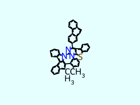 Cc1ccccc1-c1c(C)c2ccccc2c2c3ccccc3n(-c3nc(-c4ccc5c(ccc6ccccc65)c4)c4c(n3)sc3ccccc34)c12